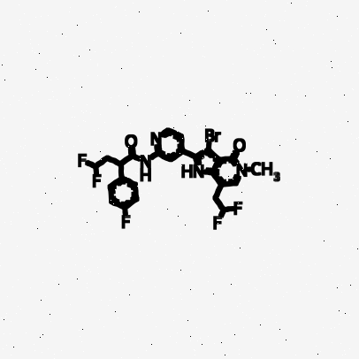 Cn1cc(CC(F)F)c2[nH]c(-c3ccnc(NC(=O)C(CC(F)F)c4ccc(F)cc4)c3)c(Br)c2c1=O